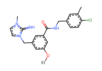 CCOc1cc(Cn2ccn(C)c2=N)cc(C(=O)NCc2ccc(Cl)c(C)c2)c1